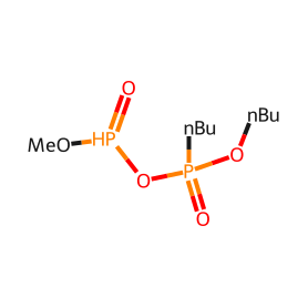 CCCCOP(=O)(CCCC)O[PH](=O)OC